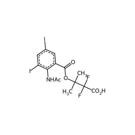 CC(=O)Nc1c(I)cc(I)cc1C(=O)OC(C)(C)C(F)(F)C(=O)O